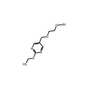 CCCOCCOCc1cnc(SCS)nc1